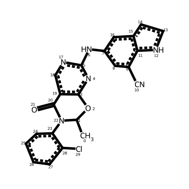 CC1Oc2nc(Nc3cc(C#N)c4[nH]ccc4c3)ncc2C(=O)N1c1ccccc1Cl